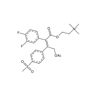 CC(=O)OC/C(=C(\C(=O)OCC[N+](C)(C)C)c1ccc(F)c(F)c1)c1ccc(S(C)(=O)=O)cc1